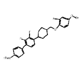 CCCCCc1ccc(-c2ccc(C3CCC(COc4ccc(OCC)cc4F)CC3)c(F)c2F)cc1